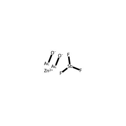 CC(=O)[O-].CC(=O)[O-].[F][Sb]([F])[F].[Zn+2]